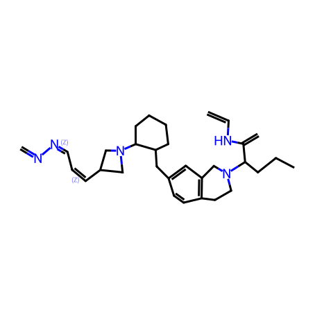 C=CNC(=C)C(CCC)N1CCc2ccc(CC3CCCCC3N3CC(/C=C\C=N/N=C)C3)cc2C1